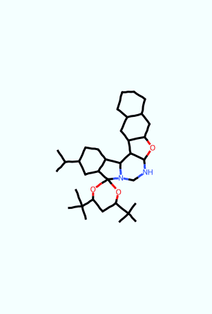 CC(C)C1CCC2C3C4C(NCN3C3(OC(C(C)(C)C)CC(C(C)(C)C)O3)C2C1)OC1CC2CCCCC2CC14